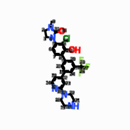 CN1CCN(c2ccc(-c3cc(-c4ccnc(N5CCNCC5)c4)cc(C(F)(F)F)c3)c(O)c2Cl)C1=O